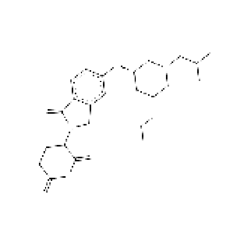 CCO[C@@H]1C[C@@H](Oc2ccc3c(c2)CN(C2CCC(=O)NC2=O)C3=O)CN(CC(C)C)C1